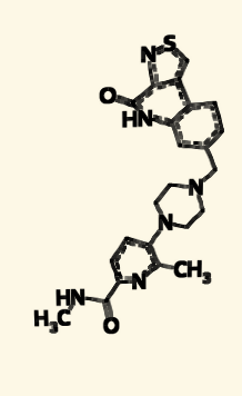 CNC(=O)c1ccc(N2CCN(Cc3ccc4c(c3)[nH]c(=O)c3nscc34)CC2)c(C)n1